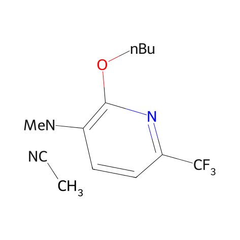 CC#N.CCCCOc1nc(C(F)(F)F)ccc1NC